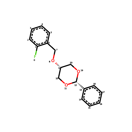 Fc1ccccc1CO[C@H]1CO[C@@H](c2ccccc2)OC1